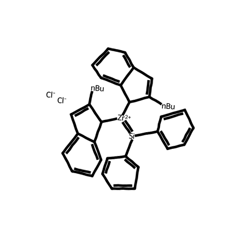 CCCCC1=Cc2ccccc2[CH]1[Zr+2]([CH]1C(CCCC)=Cc2ccccc21)=[Si](c1ccccc1)c1ccccc1.[Cl-].[Cl-]